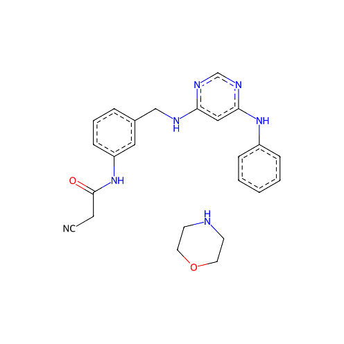 C1COCCN1.N#CCC(=O)Nc1cccc(CNc2cc(Nc3ccccc3)ncn2)c1